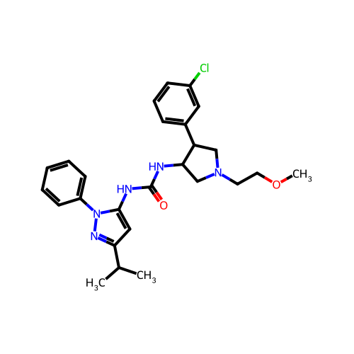 COCCN1CC(NC(=O)Nc2cc(C(C)C)nn2-c2ccccc2)C(c2cccc(Cl)c2)C1